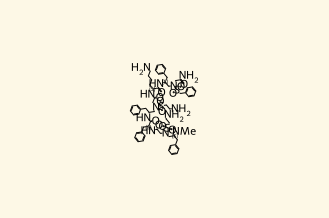 CN[C@@H](Cc1ccccc1)CN(CC(=O)N[C@@H](Cc1ccccc1)C(=O)NC(Cc1ccccc1)CN(CC(=O)N[C@@H](CCCCN)C(=O)N[C@@H](Cc1ccccc1)CN(CC(N)=O)S(=O)(=O)Cc1ccccc1)S(=O)(=O)CCN)S(=O)(=O)CCN